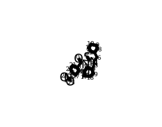 O=C(NC(=S)N(Cc1ccccc1)Cc1ccccc1)c1ccc([N+](=O)[O-])cc1